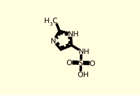 Cc1ncc(NS(=O)(=O)O)[nH]1